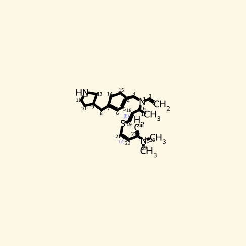 C=CN(CC1=CC=C(CC2CCNC2)CC1)C(C)/C=C/S/C=C\C(=C)N(C)C